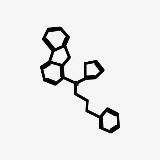 C1=CC[C]([Zr]([CH2]CCc2ccccc2)[c]2cccc3c2Cc2ccccc2-3)=C1